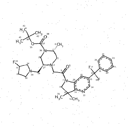 C[C@@H]1CN(CC(=O)N2CC(C)(C)c3ncc(C(F)(F)c4ccccc4)cc32)[C@@H](CN2CCC(F)C2)CN1C(=O)OC(C)(C)C